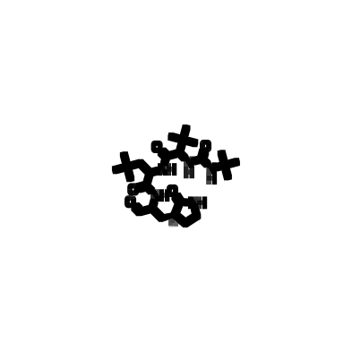 CC(C)(C)CC(NC(=O)C(NC(=O)NC(C)(C)C)C(C)(C)C)C(=O)NC(C=O)C[C@@H]1CCNC1=O